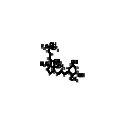 C=C1/C(=C/C=C/[C@@H]2CC[C@](C)([C@H](C)CCCC(O)(C(F)(F)F)C(F)(F)F)C2(C)C)C[C@@H](O)C[C@@H]1O